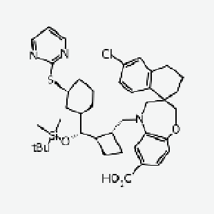 CC(C)(C)[Si](C)(C)O[C@H]([C@@H]1CCC[C@H](Sc2ncccn2)C1)[C@@H]1CC[C@H]1CN1CC2(CCCc3cc(Cl)ccc32)COc2ccc(C(=O)O)cc21